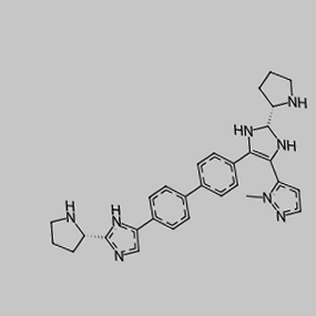 Cn1nccc1C1=C(c2ccc(-c3ccc(-c4cnc([C@@H]5CCCN5)[nH]4)cc3)cc2)NC([C@@H]2CCCN2)N1